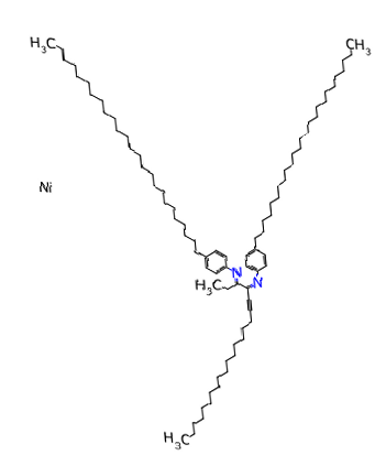 CCCCCCCCCCCCCCCCC#CC(=Nc1ccc(CCCCCCCCCCCCCCCCCCCCCCCCC)cc1)C(CC)=Nc1ccc(CCCCCCCCCCCCCCCCCCCCCCCCC)cc1.[Ni]